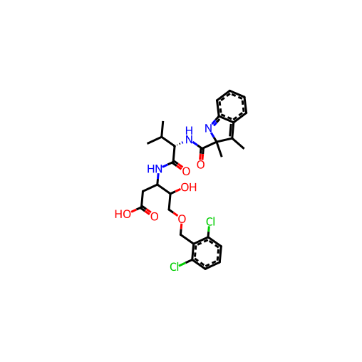 CC1=c2ccccc2=NC1(C)C(=O)N[C@H](C(=O)NC(CC(=O)O)C(O)COCc1c(Cl)cccc1Cl)C(C)C